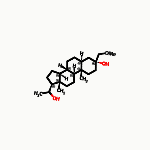 COC[C@@]1(O)CC[C@@]2(C)[C@@H](CC[C@@H]3[C@@H]2CC[C@]2(C)[C@@H](C(C)O)CC[C@@H]32)C1